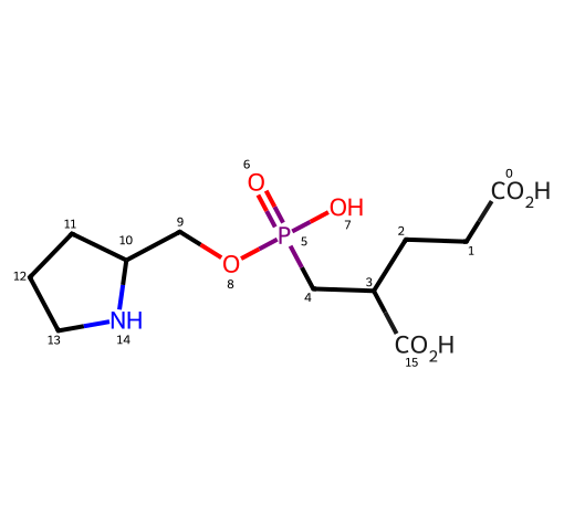 O=C(O)CCC(CP(=O)(O)OCC1CCCN1)C(=O)O